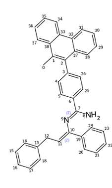 Cc1c(-c2ccc(/C(N)=N/C(=C\Cc3ccccc3)c3ccccc3)cc2)c2ccccc2c2ccccc12